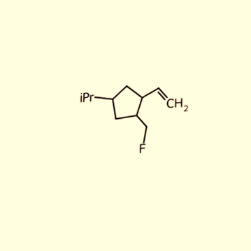 C=CC1CC(C(C)C)CC1CF